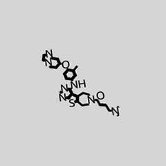 Cc1cc(Nc2ncnc3sc4c(c23)CCN(C(=O)/C=C/CN(C)C)CC4)ccc1Oc1ccn2ccnc2c1